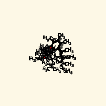 CC(=C(C(C)C)[Si](O[Si](C)(C)C)(O[Si](C)(O[SiH3])O[SiH3])C(O[Si](C)(C)C)(O[Si](C)(C)C)O[Si](C)(O[SiH3])O[SiH3])c1c(C)c(C)c(C)c(C)c1C